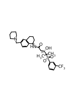 CC(C)([C@@H](O)CC(=O)N[C@@H]1CCCc2cc(CN3CCCCC3)ccc21)S(=O)(=O)c1cccc(C(F)(F)F)c1